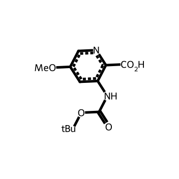 COc1cnc(C(=O)O)c(NC(=O)OC(C)(C)C)c1